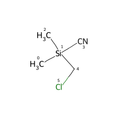 C[Si](C)(C#N)CCl